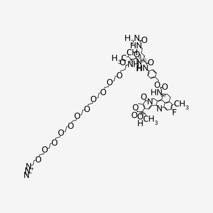 CC[C@@]1(O)C(=O)OCc2c1cc1n(c2=O)Cc2c-1nc1cc(F)c(C)c3c1c2[C@@H](NC(=O)OCc1ccc(NC(=O)[C@H](CCCNC(N)=O)NC(=O)[C@@H](NC(=O)CCOCCOCCOCCOCCOCCOCCOCCOCCOCCOCCOCCN=[N+]=[N-])C(C)C)cc1)CC3